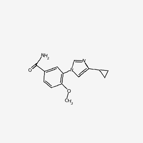 COc1ccc(C(N)=O)cc1-n1cnc(C2CC2)c1